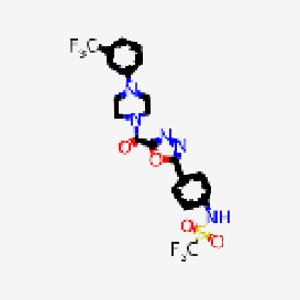 O=C(c1nnc(-c2ccc(NS(=O)(=O)C(F)(F)F)cc2)o1)N1CCN(c2cccc(C(F)(F)F)c2)CC1